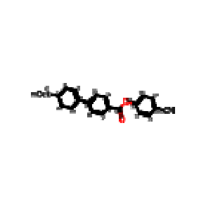 CCCCCCCCC1CC=C(c2ccc(C(=O)Oc3ccc(C#N)cc3)cc2)CC1